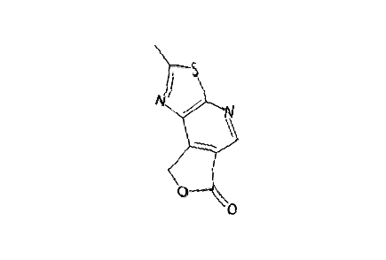 Cc1nc2c3c(cnc2s1)C(=O)OC3